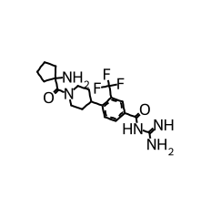 N=C(N)NC(=O)c1ccc(C2CCN(C(=O)C3(N)CCCC3)CC2)c(C(F)(F)F)c1